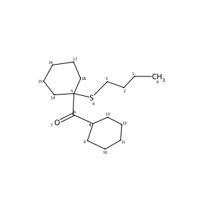 CCCCSC1(C(=O)C2CCCCC2)CCCCC1